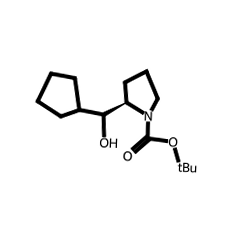 CC(C)(C)OC(=O)N1CCC[C@@H]1C(O)C1CCCC1